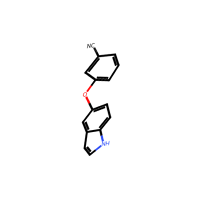 N#Cc1cccc(Oc2ccc3[nH]ccc3c2)c1